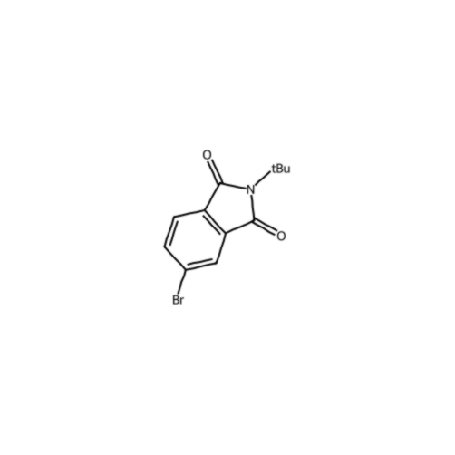 CC(C)(C)N1C(=O)c2ccc(Br)cc2C1=O